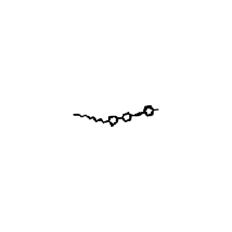 CCCCCCCCCc1ccc(C2CCC(C#Cc3ccc(C)cc3)CC2)cc1